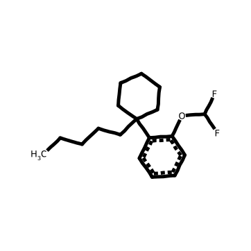 CCCCCC1(c2ccccc2OC(F)F)CCCCC1